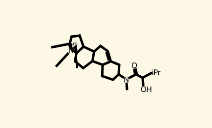 CC(C)C(O)C(=O)N(C)C1CCC2C(=CCC3C2CCC24C3CCC2C(C)N(C)[C@H]4C)C1